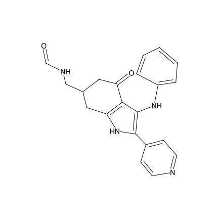 O=CNCC1CC(=O)c2c([nH]c(-c3ccncc3)c2Nc2ccccc2)C1